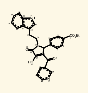 CCOC(=O)c1ccc(C2C(C(=O)c3cccnc3)=C(O)C(=O)N2CCc2c[nH]c3ccccc23)cc1